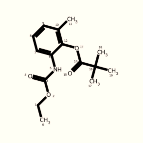 CCOC(=O)Nc1cccc(C)c1OC(=O)C(C)(C)C